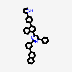 c1ccc(-c2cc(-c3ccc(-c4ccc(-c5ccc[nH]5)cc4)c4ccccc34)nc(-c3cccc(-c4ccc5ccccc5c4)c3)n2)cc1